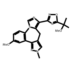 COc1ccc2c(c1)-c1nn(C)cc1Cc1c(-c3noc(C(C)(C)OC)n3)ncn1-2